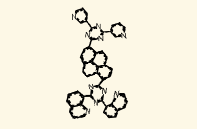 c1cncc(-c2nc(-c3cccnc3)nc(-c3ccc4ccc5c(-c6nc(-c7cccc8cccnc78)nc(-c7cccc8cccnc78)n6)ccc6ccc3c4c65)n2)c1